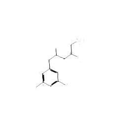 CCC(Cc1cc(C)cc(C)c1)CC(CN)C(=O)O